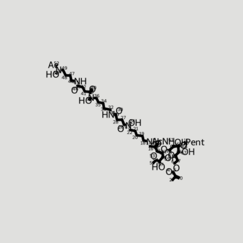 C=C(C)C(=O)OCCC1O[C@@H](O[C@@H]2C(C(=O)CNCCCCCN(O)C(=O)CCC(=O)NCCCCCN(O)C(=O)CCC(=O)NCCCCN(O)C(C)=O)OC(C)C(O)[C@H]2O)C(NC(C)=O)[C@@](O)(O[C@@H](C)CCC)[C@@H]1O